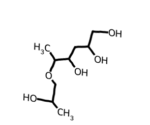 CC(O)COC(C)C(O)CC(O)CO